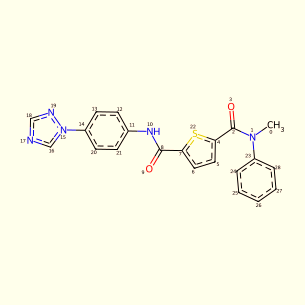 CN(C(=O)c1ccc(C(=O)Nc2ccc(-n3cncn3)cc2)s1)c1ccccc1